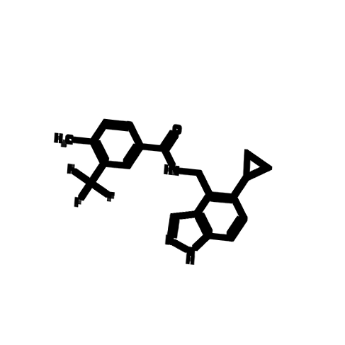 Cc1ccc(C(=O)NCc2c(C3CC3)ccc3[nH]ncc23)cc1C(F)(F)F